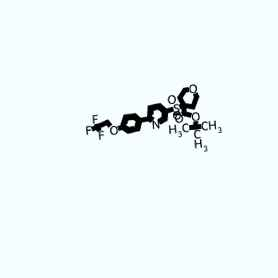 CC(C)(C)OC(=O)C1(S(=O)(=O)c2ccc(-c3ccc(OCC(F)(F)F)cc3)nc2)CCOCC1